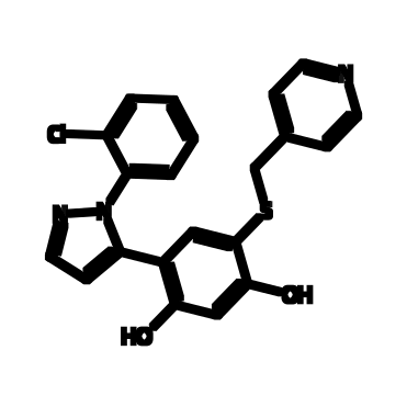 Oc1cc(O)c(-c2ccnn2-c2ccccc2Cl)cc1SCc1ccncc1